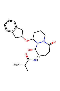 CNC(C)C(=O)N[C@H]1CCC(=O)N2CCCC(OC3Cc4ccccc4C3)N2C1=O